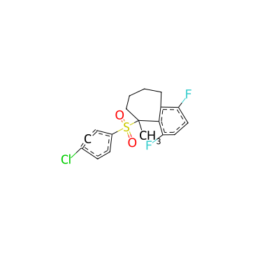 CC1(S(=O)(=O)c2ccc(Cl)cc2)CCCCc2c(F)ccc(F)c21